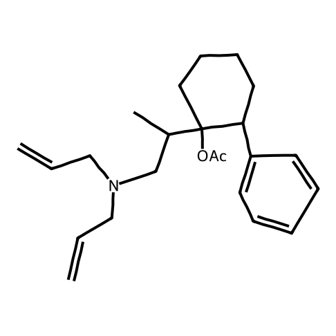 C=CCN(CC=C)CC(C)C1(OC(C)=O)CCCCC1c1ccccc1